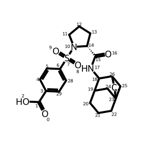 O=C(O)c1ccc(S(=O)(=O)N2CCC[C@@H]2C(=O)NC2C3CCCC4(C3)CC2C4)cc1